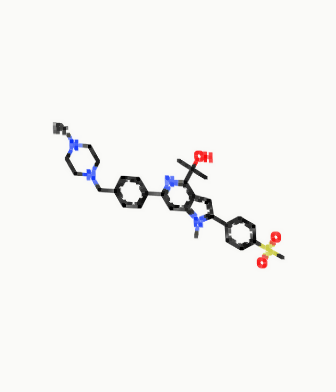 CC(C)N1CCN(Cc2ccc(-c3cc4c(cc(-c5ccc(S(C)(=O)=O)cc5)n4C)c(C(C)(C)O)n3)cc2)CC1